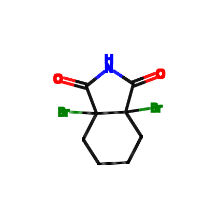 O=C1NC(=O)C2(Br)CCCCC12Br